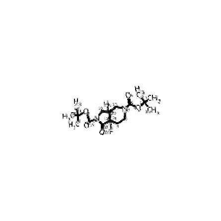 CC(C)(C)OC(=O)N1CC[C@]2(F)C(=O)N(C(=O)OC(C)(C)C)C[C@@H]2C1